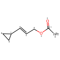 CCCC(=O)OCC=CC1CC1